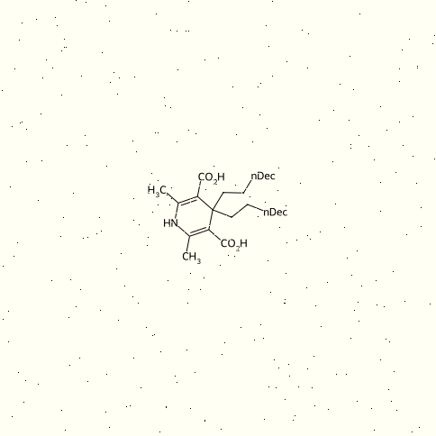 CCCCCCCCCCCCC1(CCCCCCCCCCCC)C(C(=O)O)=C(C)NC(C)=C1C(=O)O